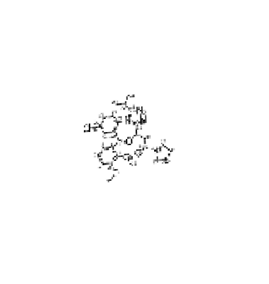 COc1cccc(C2OC(CC(=O)N3CCSC3)c3nnc(C(C)C)n3-c3ccc(Cl)cc32)c1OC